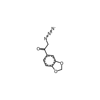 [N-]=[N+]=NCC(=O)c1ccc2c(c1)OCO2